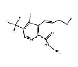 COCC=Cc1c(C(=O)NN)ncc(C(F)(F)F)c1I